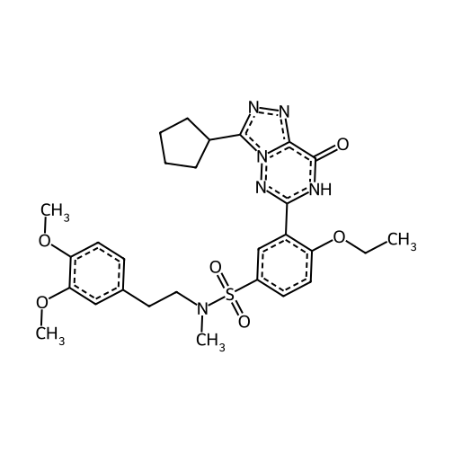 CCOc1ccc(S(=O)(=O)N(C)CCc2ccc(OC)c(OC)c2)cc1-c1nn2c(C3CCCC3)nnc2c(=O)[nH]1